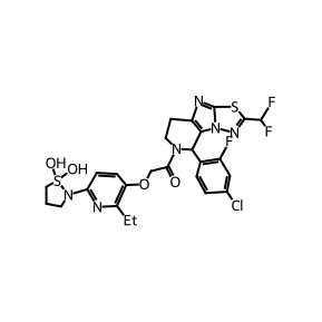 CCc1nc(N2CCCS2(O)O)ccc1OCC(=O)N1CCc2nc3sc(C(F)F)nn3c2C1c1ccc(Cl)cc1F